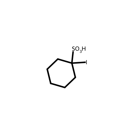 O=S(=O)(O)C1(I)CCCCC1